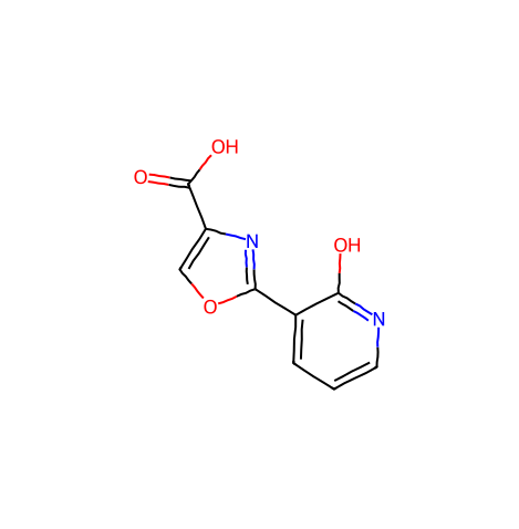 O=C(O)c1coc(-c2cccnc2O)n1